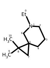 CCN1CCCC2(C1)CC2(C)C